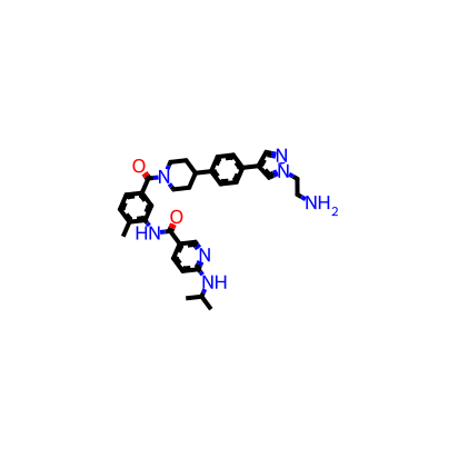 Cc1ccc(C(=O)N2CCC(c3ccc(-c4cnn(CCN)c4)cc3)CC2)cc1NC(=O)c1ccc(NC(C)C)nc1